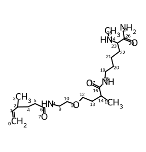 C=CC(C)CCC(=O)NCCOCCC(C)C(=O)NCCCCC(NC)C(N)=O